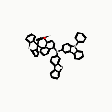 c1ccc(-n2c3ccccc3c3cc(N(c4ccc5c(c4)sc4ccccc45)c4ccc5c6c(cccc46)C4(c6ccccc6Oc6ccccc64)c4ccccc4-5)ccc32)cc1